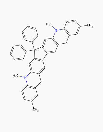 Cc1ccc2c(c1)Cc1cc3c(cc1N2C)C(c1ccccc1)(c1ccccc1)c1cc2c(cc1-3)Cc1cc(C)ccc1N2C